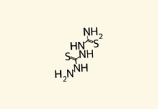 NNC(=S)NNC(N)=S